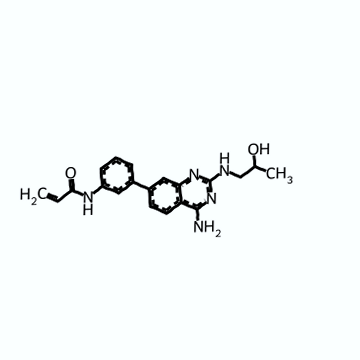 C=CC(=O)Nc1cccc(-c2ccc3c(N)nc(NCC(C)O)nc3c2)c1